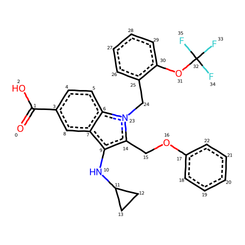 O=C(O)c1ccc2c(c1)c(NC1CC1)c(COc1ccccc1)n2Cc1ccccc1OC(F)(F)F